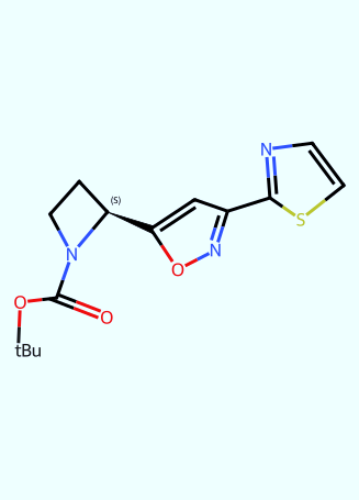 CC(C)(C)OC(=O)N1CC[C@H]1c1cc(-c2nccs2)no1